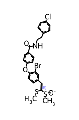 CS/C(=C\c1ccc(Oc2ccc(C(=O)NCCc3ccc(Cl)cc3)cc2)c(Br)c1)[S+](C)[O-]